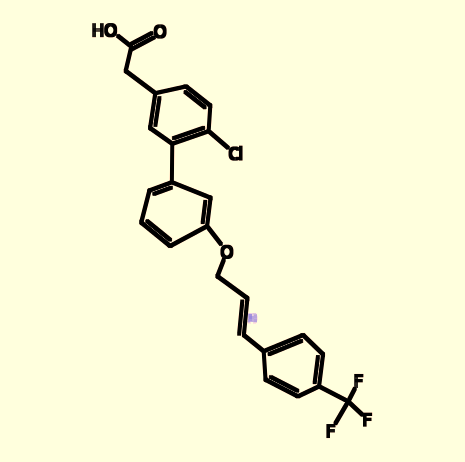 O=C(O)Cc1ccc(Cl)c(-c2cccc(OC/C=C/c3ccc(C(F)(F)F)cc3)c2)c1